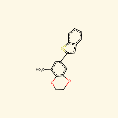 O=C(O)c1cc(-c2cc3ccccc3s2)cc2c1OCCO2